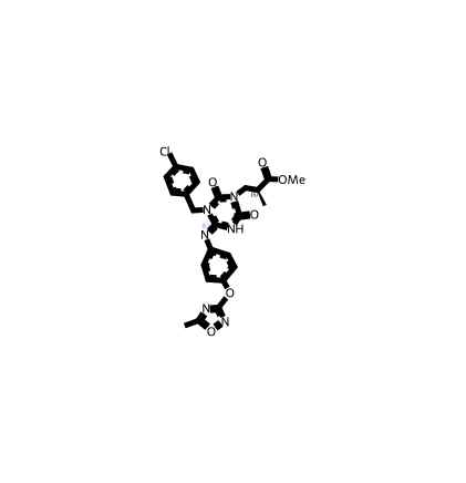 COC(=O)[C@@H](C)Cn1c(=O)[nH]/c(=N\c2ccc(Oc3noc(C)n3)cc2)n(Cc2ccc(Cl)cc2)c1=O